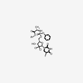 CC(C)OC(=O)[C@H](C)N[P@@](=S)(OC[C@H]1O[C@@H](n2cc(F)c(=O)[nH]c2=O)C(Cl)(Cl)[C@@H]1O)Oc1ccccc1